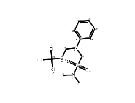 CN(C)S(=O)(=O)CN(CSC(F)(Cl)Cl)c1ccccc1